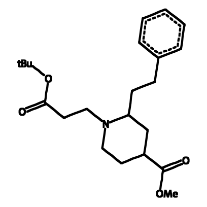 COC(=O)C1CCN(CCC(=O)OC(C)(C)C)C(CCc2ccccc2)C1